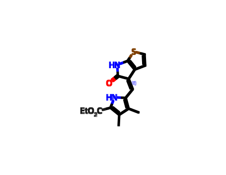 CCOC(=O)c1[nH]c(/C=C2\C(=O)Nc3sccc32)c(C)c1C